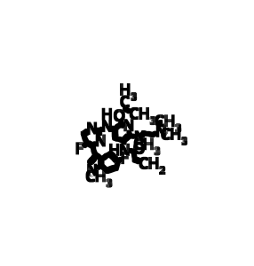 C=CC(=O)Nc1cc(Nc2ncc(F)c(-c3cn(C)c4ccc(F)cc34)n2)c(OC(C)C)nc1N(C)CCN(C)C